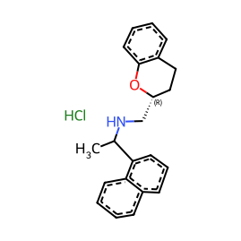 CC(NC[C@H]1CCc2ccccc2O1)c1cccc2ccccc12.Cl